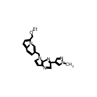 CCOCc1ccc2ccc(Cn3ccc4ncc(-c5cnn(C)c5)nc43)cn12